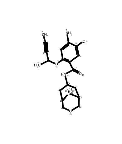 CC#CC(C)Oc1cc(N)c(Cl)cc1C(=O)NC1CC2COCC(C1)N2C